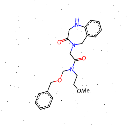 COCCN(COCc1ccccc1)C(=O)CN1Cc2ccccc2NCC1=O